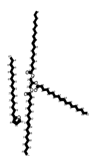 CCCCCCCC/C=C/CCCCCCCC(=O)OCC(COC(=O)CCCCCCC/C=C/CCCCCCCC)OC(=O)CCCCCCC/C=C/CCCCCCCC.CCCCCCCCCCCCCCCCCc1ccco1